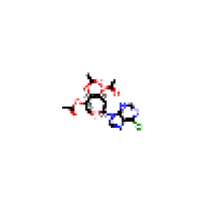 CC(=O)O[C@@H]1[C@H](OC(C)=O)[C@@H](C)O[C@H](n2cnc3c(Cl)ncnc32)C[C@@H]1OC(C)=O